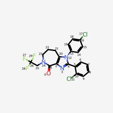 O=C1c2nc(-c3ccccc3Cl)n(-c3ccc(Cl)cc3)c2CCCN1CC(F)(F)F